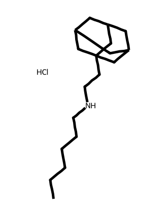 CCCCCCNCCC12CC3CC(CC(C3)C1)C2.Cl